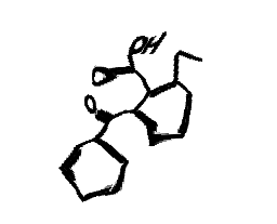 CCc1cccc(C(=O)c2ccccc2)c1C(=O)O